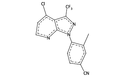 Cc1cc(C#N)ccc1-n1nc(C(F)(F)F)c2c(Cl)ccnc21